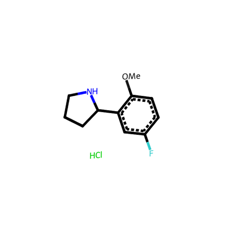 COc1ccc(F)cc1C1CCCN1.Cl